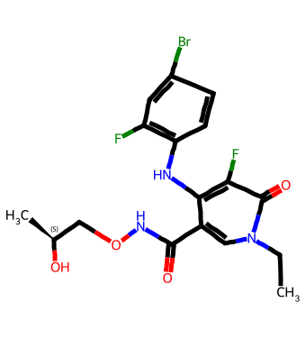 CCn1cc(C(=O)NOC[C@H](C)O)c(Nc2ccc(Br)cc2F)c(F)c1=O